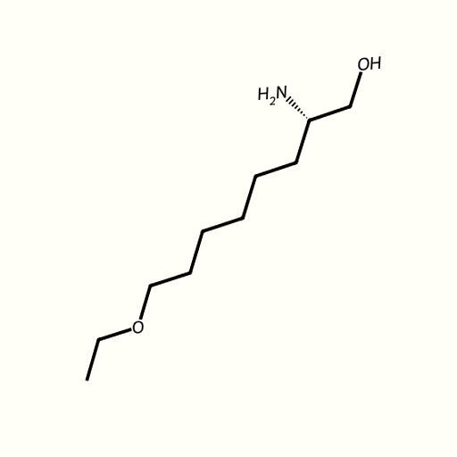 CCOCCCCCC[C@H](N)CO